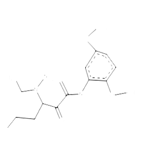 CCCC(C(=O)C(=O)Nc1cc(OC)ccc1OC)N(N)CC